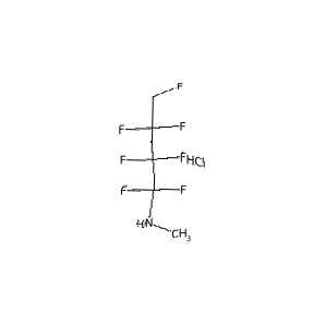 CNC(F)(F)C(F)(F)C(F)(F)CF.Cl